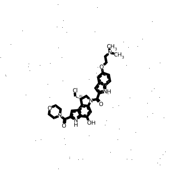 CN(C)CCOc1ccc2[nH]c(C(=O)N3C[C@@H](CCl)c4c3cc(O)c3[nH]c(C(=O)N5CCOCC5)cc43)cc2c1